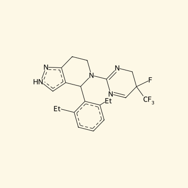 CCc1cccc(CC)c1C1c2c[nH]nc2CCN1C1=NCC(F)(C(F)(F)F)C=N1